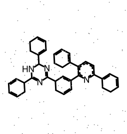 C1=CCCC(c2ccc(C3=CC=CCC3)c(C3=CC(C4=NC(C5=CC=CCC5)NC(C5C=CC=CC5)=N4)CC=C3)n2)=C1